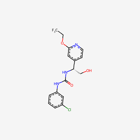 O=C(Nc1cccc(Cl)c1)N[C@@H](CO)c1ccnc(OCC(F)(F)F)c1